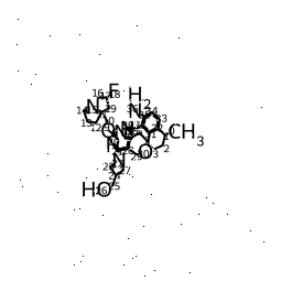 C[C@H]1CC[C@]2(Cc3nc(OC[C@@]45CCCN4C[C@H](F)C5)nc(N4CC(CO)C4)c3CO2)c2c1ccc(N)c2C#N